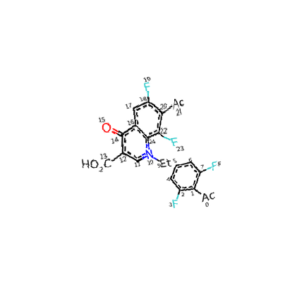 CC(=O)c1c(F)cccc1F.CCn1cc(C(=O)O)c(=O)c2cc(F)c(C(C)=O)c(F)c21